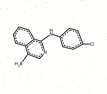 Bc1cnc(Nc2ccc(Cl)cc2)c2ccccc12